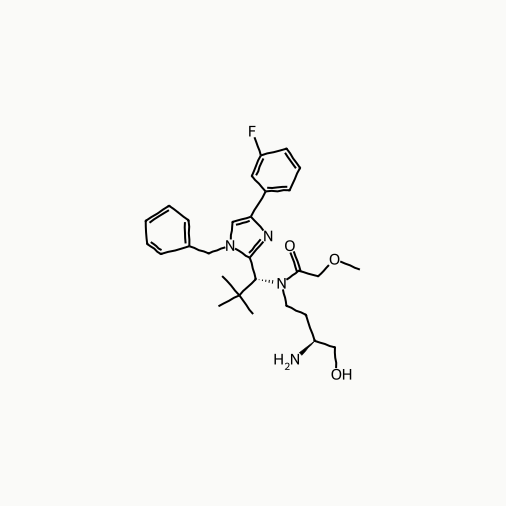 COCC(=O)N(CC[C@H](N)CO)[C@@H](c1nc(-c2cccc(F)c2)cn1Cc1ccccc1)C(C)(C)C